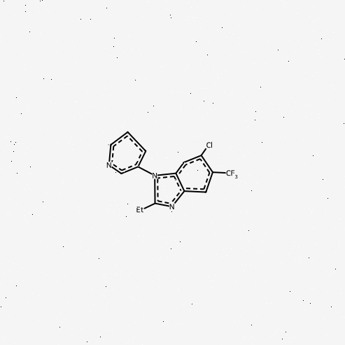 CCc1nc2cc(C(F)(F)F)c(Cl)cc2n1-c1cc[c]nc1